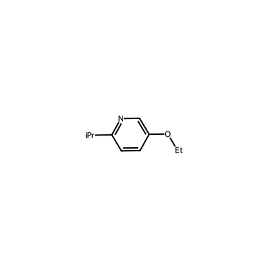 CCOc1ccc(C(C)C)nc1